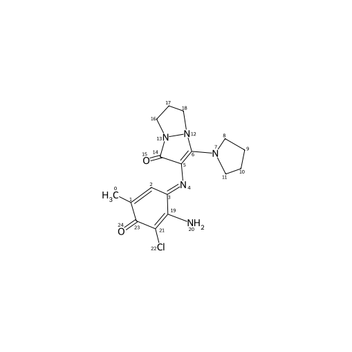 CC1=CC(=Nc2c(N3CCCC3)n3n(c2=O)CCC3)C(N)=C(Cl)C1=O